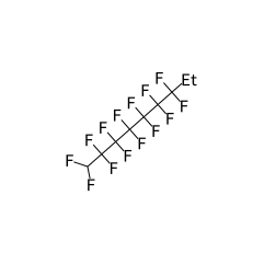 CCC(F)(F)C(F)(F)C(F)(F)C(F)(F)C(F)(F)C(F)(F)C(F)F